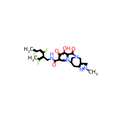 C=C(F)/C=C(F)\C(CNC(=O)c1cn2c(c(O)c1=O)C(=O)N1Cc3cn(C)nc3CC2C1)=C(/C)F